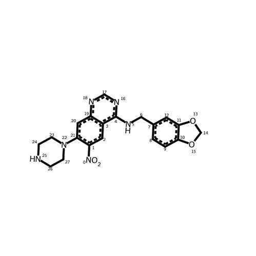 O=[N+]([O-])c1cc2c(NCc3ccc4c(c3)OCO4)ncnc2cc1N1CCNCC1